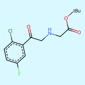 CC(C)(C)OC(=O)CNCC(=O)c1cc(F)ccc1Cl